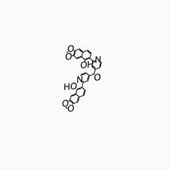 O=C(c1ccnc(-c2ccc3cc4c(cc3c2O)OCO4)c1)c1ccnc(-c2ccc3cc4c(cc3c2O)OCO4)c1